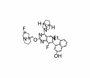 CCc1cccc2cc(O)cc(-c3ncc4c(N5C[C@H]6CC[C@@H](C5)S6)nc(OC[C@@]56CCCN5C[C@H](F)C6)nc4c3F)c12